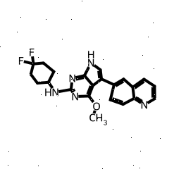 COc1nc(NC2CCC(F)(F)CC2)nc2[nH]cc(-c3ccc4ncccc4c3)c12